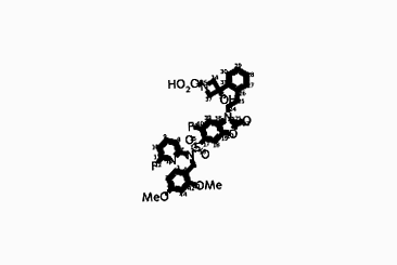 COc1ccc(CN(c2cccc(F)n2)S(=O)(=O)c2cc3oc(=O)n(CCc4ccccc4C4(O)CN(C(=O)O)C4)c3cc2F)c(OC)c1